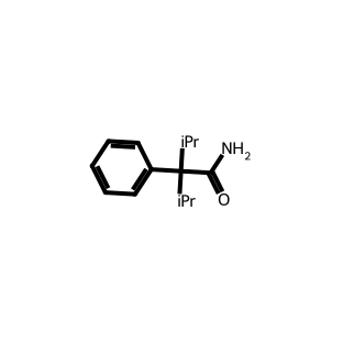 CC(C)C(C(N)=O)(c1ccccc1)C(C)C